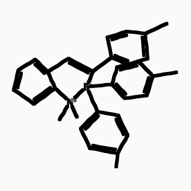 Cc1ccc(C2=Cc3ccccc3[N+](C)(C)[B-]2(c2ccc(C)cc2)c2ccc(C)cc2)cc1